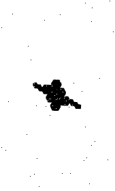 C=CCCCc1ccc(N(c2ccccc2)c2c3ccccc3c(N(c3ccccc3)c3ccc(CCCC)cc3)c3ccccc23)cc1